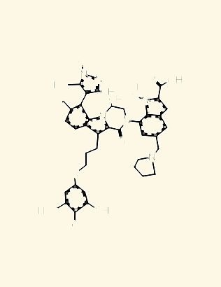 Cc1cc(OCCCc2c3n(c4c(-c5c(C)nn(C)c5C)c(Cl)ccc24)[C@H](C)CN(c2cc(CN4CCCC4)cc4cc(C(=O)O)n(C)c24)C3=O)cc(C)c1Cl